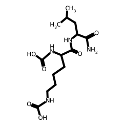 CC(C)CC(NC(=O)C(CCCCNC(=O)O)NC(=O)O)C(N)=O